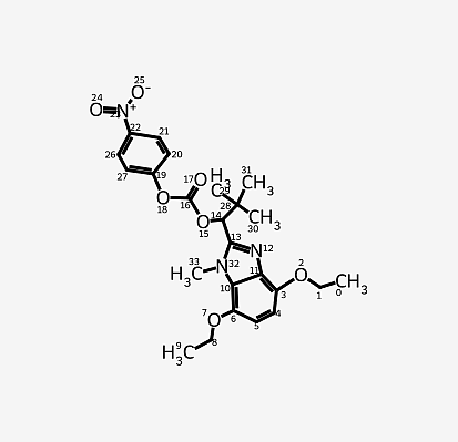 CCOc1ccc(OCC)c2c1nc(C(OC(=O)Oc1ccc([N+](=O)[O-])cc1)C(C)(C)C)n2C